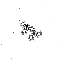 O=P(Oc1ccccc1)(Oc1ccccc1)Oc1ccc(OP(Oc2ccccc2)Oc2ccccc2)cc1